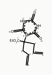 C=CCC(CC=C)(C(=O)OCC)n1c(=O)[nH]c(=O)[nH]c1=O